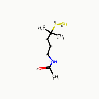 CC(=O)NCCCC(C)(C)SS